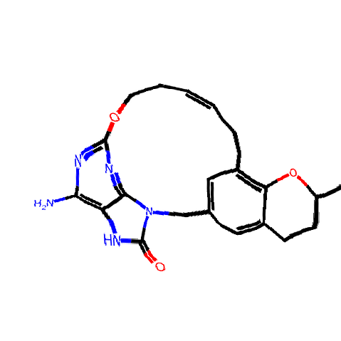 CC1CCc2cc3cc(c2O1)C/C=C\CCOc1nc(N)c2[nH]c(=O)n(c2n1)C3